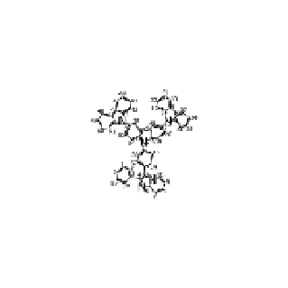 c1ccc(-c2nc3ccccn3c2-c2ccc(-n3c4ccc(-n5c6ccccc6c6ccccc65)cc4c4cc(-n5c6ccccc6c6ccccc65)ccc43)cc2)cc1